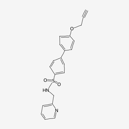 C#CCOc1ccc(-c2ccc(S(=O)(=O)NCc3ccccn3)cc2)cc1